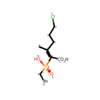 CC(CCCCl)=C(C(=O)O)P(=O)(O)CC(C)C